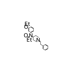 CCOc1cccc(N(C(=O)CC)C2CCN(CCc3ccccc3)CC2)c1